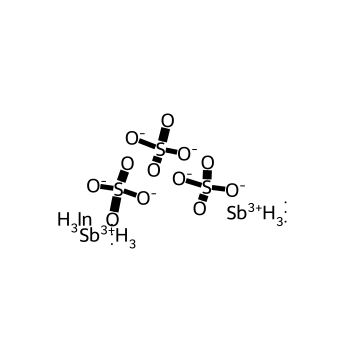 O=S(=O)([O-])[O-].O=S(=O)([O-])[O-].O=S(=O)([O-])[O-].[InH3].[SbH3+3].[SbH3+3]